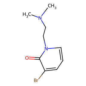 CN(C)CCn1cccc(Br)c1=O